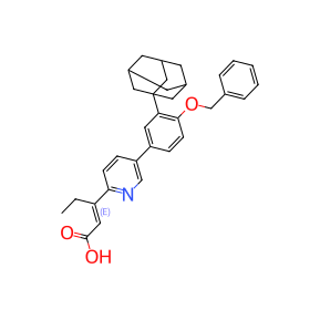 CC/C(=C\C(=O)O)c1ccc(-c2ccc(OCc3ccccc3)c(C34CC5CC(CC(C5)C3)C4)c2)cn1